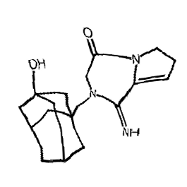 N=C1C2=CCCN2C(=O)CN1C12CC3CC(CC(O)(C3)C1)C2